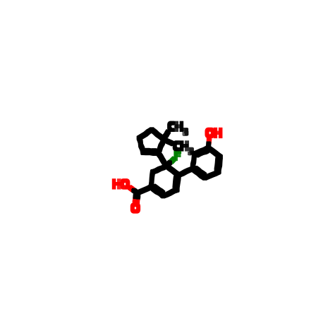 CC1(C)CCC=C1C1(F)CC(C(=O)O)=CC=C1c1cccc(O)c1